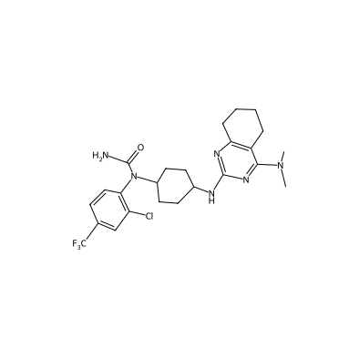 CN(C)c1nc(NC2CCC(N(C(N)=O)c3ccc(C(F)(F)F)cc3Cl)CC2)nc2c1CCCC2